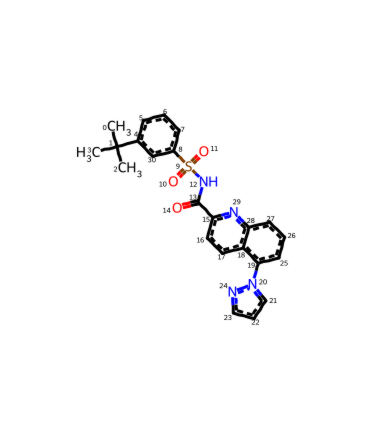 CC(C)(C)c1cccc(S(=O)(=O)NC(=O)c2ccc3c(-n4cccn4)cccc3n2)c1